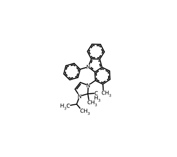 Cc1ccc2c3ccccc3n(-c3ccccc3)c2c1N1C=CN(C(C)C)C1(C)C